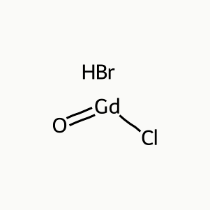 Br.[O]=[Gd][Cl]